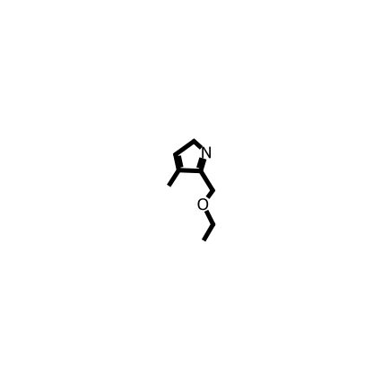 CCOCC1=NCC=C1C